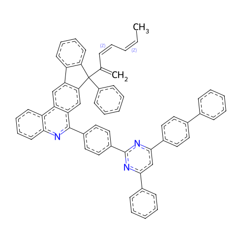 C=C(/C=C\C=C/C)C1(c2ccccc2)c2ccccc2-c2cc3c(cc21)c(-c1ccc(-c2nc(-c4ccccc4)cc(-c4ccc(-c5ccccc5)cc4)n2)cc1)nc1ccccc13